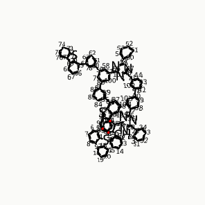 CC1C([Si](c2ccccc2)(c2ccccc2)c2ccccc2)=CC=CC1c1nc(-c2ccccc2)nc(-c2ccc(-c3cccc(-c4nc(-c5ccccc5)nc(-c5cc(-c6cccc(-c7cccc8c7sc7ccccc78)c6)cc(-c6cccc(-c7cccc8c7sc7ccccc78)c6)c5)n4)c3)cc2)n1